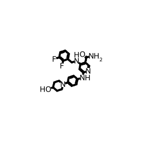 NC(=O)c1cnc(Nc2ccc(N3CCC(O)CC3)cc2)cc1NCc1cccc(F)c1F